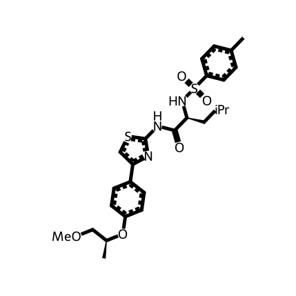 COC[C@H](C)Oc1ccc(-c2csc(NC(=O)[C@H](CC(C)C)NS(=O)(=O)c3ccc(C)cc3)n2)cc1